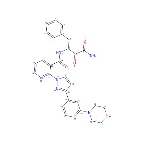 NC(=O)C(=O)C(Cc1ccccc1)NC(=O)c1cccnc1-n1ccc(-c2cccc(N3CCOCC3)c2)n1